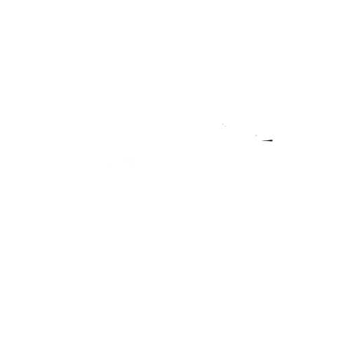 CC(C)C(=O)Nc1cccc(C2CCN(C[C@@H](C)COc3ccc(F)cc3)CC2)c1